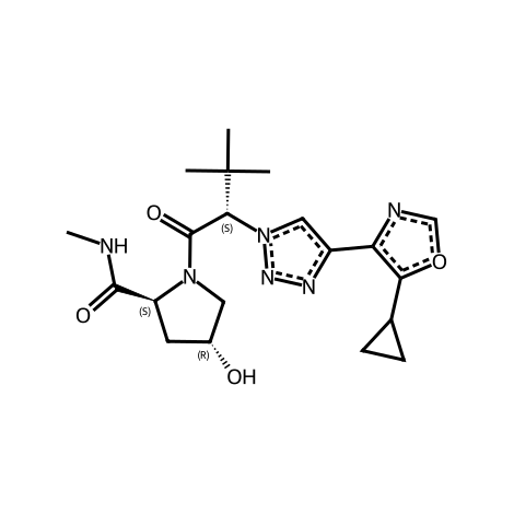 CNC(=O)[C@@H]1C[C@@H](O)CN1C(=O)[C@@H](n1cc(-c2ncoc2C2CC2)nn1)C(C)(C)C